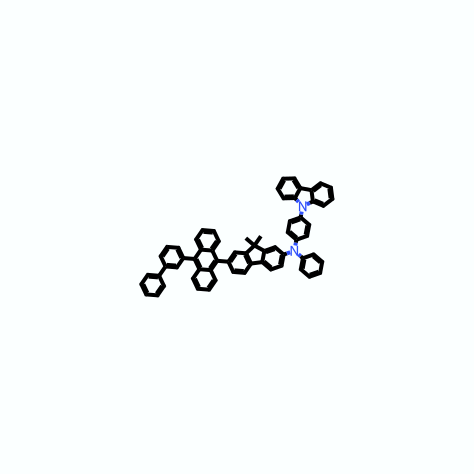 CC1(C)c2cc(-c3c4ccccc4c(-c4cccc(-c5ccccc5)c4)c4ccccc34)ccc2-c2ccc(N(c3ccccc3)c3ccc(-n4c5ccccc5c5ccccc54)cc3)cc21